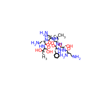 CC(C)C[C@H](NC(=O)[C@@H](Cc1ccccc1)NC(=O)[C@H](CO)NC(=O)[C@@H](N)CCN)C(=O)N[C@@H](CCN)C(=O)N[C@@H](CCN)C(=O)N[C@H](C(=O)O)[C@@H](C)O